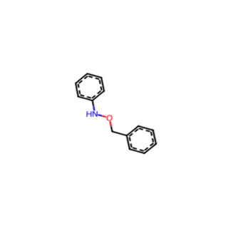 c1ccc(CONc2ccccc2)cc1